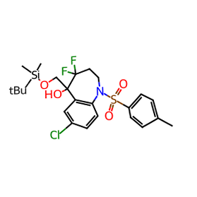 Cc1ccc(S(=O)(=O)N2CCC(F)(F)C(O)(CO[Si](C)(C)C(C)(C)C)c3cc(Cl)ccc32)cc1